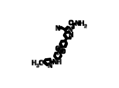 Cc1ccc(NC2CCN(S(=O)(=O)c3ccc(-c4cnc5c(c4)c(C#N)cn5CC(N)=O)cc3)CC2)nc1